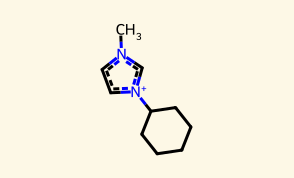 Cn1cc[n+](C2CCCCC2)c1